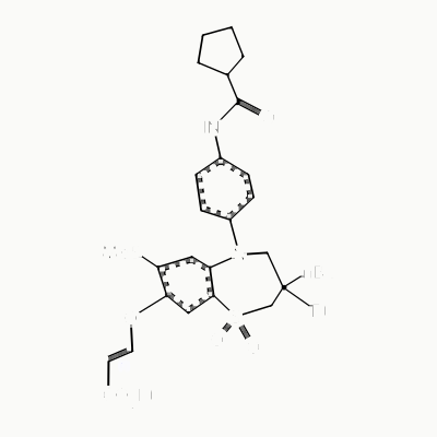 CCCCC1(CC)CN(c2ccc(NC(=O)C3CCCC3)cc2)c2cc(SC)c(O/C=C/C(=O)OCC)cc2S(=O)(=O)C1